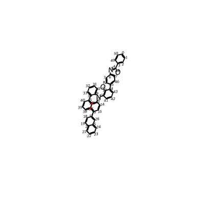 c1ccc(-c2nc3cc4oc5c(N(c6ccc(-c7ccc8ccccc8c7)cc6)c6ccccc6-c6ccccc6)cccc5c4cc3o2)cc1